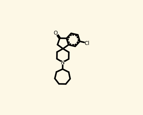 O=C1CC2(CCN(C3CCCCCC3)CC2)c2cc(Cl)ccc21